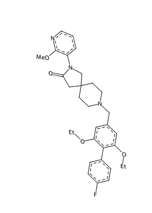 CCOc1cc(CN2CCC3(CC2)CC(=O)N(c2cccnc2OC)C3)cc(OCC)c1-c1ccc(F)cc1